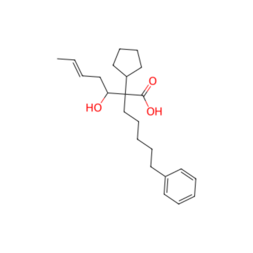 CC=CCC(O)C(CCCCCc1ccccc1)(C(=O)O)C1CCCC1